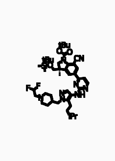 CC(C)CCc1c(Nc2nccc(-c3cc(C#N)c4c(c3)[C@@](C)(CO[Si](C)(C)C(C)(C)C)CN4C(=O)OC(C)(C)C)n2)cnn1CC1CCN(CC(F)F)CC1